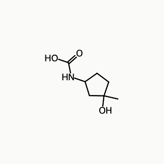 CC1(O)CCC(NC(=O)O)C1